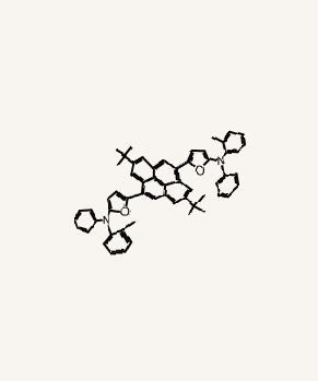 Cc1ccccc1N(c1ccccc1)c1ccc(-c2cc3cc(C(C)(C)C)cc4c(-c5ccc(N(c6ccccc6)c6ccccc6C)o5)cc5cc(C(C)(C)C)cc2c5c34)o1